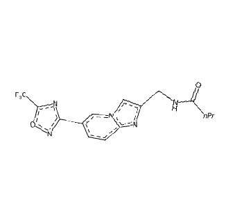 CCCC(=O)NCc1cn2cc(-c3noc(C(F)(F)F)n3)ccc2n1